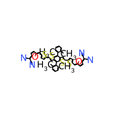 Cc1cccc(C)c1-c1c2cc(-c3ccc(/C=c4/ccc(=C(C#N)C#N)o4)s3)sc2c(-c2c(C)cccc2C)c2cc(-c3ccc(/C=c4/ccc(=C(C#N)C#N)o4)s3)sc12